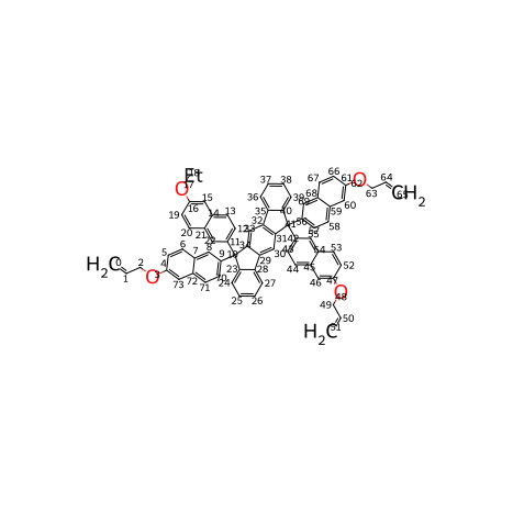 C=CCOc1ccc2cc(C3(c4ccc5cc(OCC)ccc5c4)c4ccccc4-c4cc5c(cc43)-c3ccccc3C5(c3ccc4cc(OCC=C)ccc4c3)c3ccc4cc(OCC=C)ccc4c3)ccc2c1